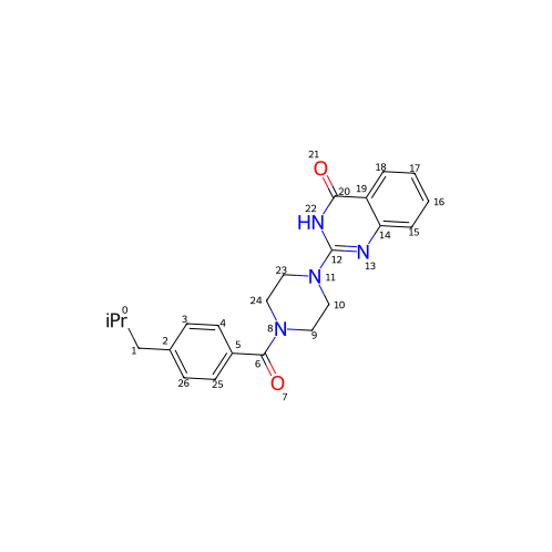 CC(C)Cc1ccc(C(=O)N2CCN(c3nc4ccccc4c(=O)[nH]3)CC2)cc1